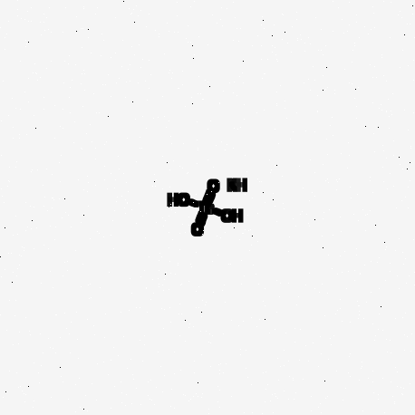 O=[Te](=O)(O)O.[KH]